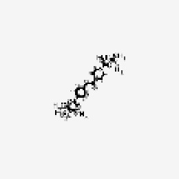 CC(C)(C)OC(=O)N1CCN(C(=O)Cc2ccc(B3OC(C)(C)C(C)(C)O3)cn2)CC1